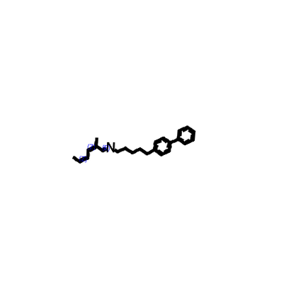 C\C=C/C=C(C)\C=N\CCCCCc1ccc(-c2ccccc2)cc1